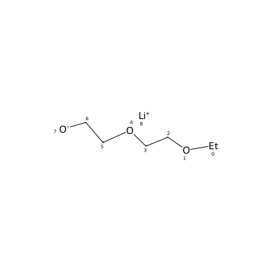 CCOCCOCC[O-].[Li+]